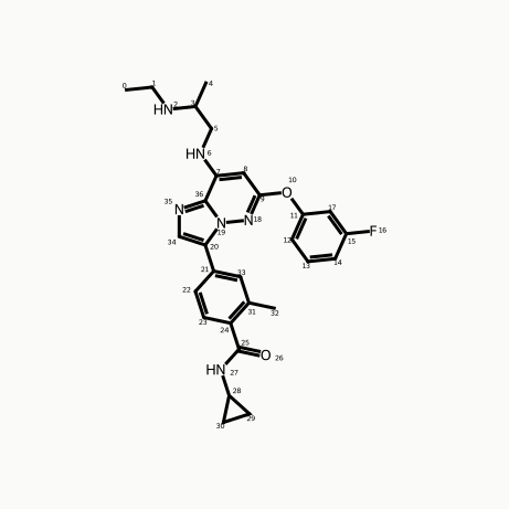 CCNC(C)CNc1cc(Oc2cccc(F)c2)nn2c(-c3ccc(C(=O)NC4CC4)c(C)c3)cnc12